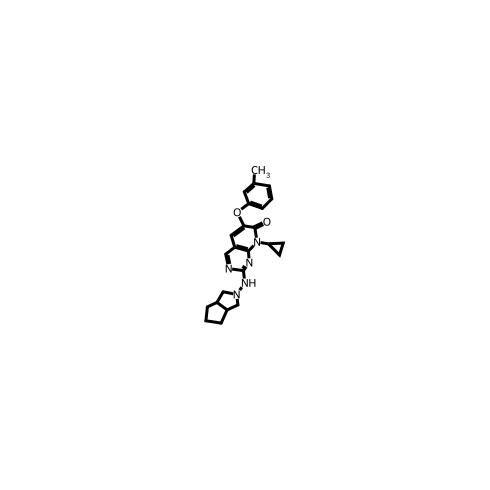 Cc1cccc(Oc2cc3cnc(NN4CC5CCCC5C4)nc3n(C3CC3)c2=O)c1